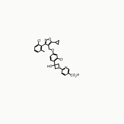 Cc1cccc(Cl)c1-c1noc(C2CC2)c1COc1ccc(C2(O)CN(c3ccc(C(=O)O)cn3)C2)c(Cl)c1